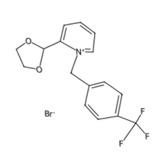 FC(F)(F)c1ccc(C[n+]2ccccc2C2OCCO2)cc1.[Br-]